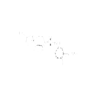 CCC1COC2(C=C(C(=O)O)C(S(=O)(=O)Nc3ccc(F)c(OC)c3)CC2)O1